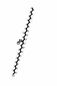 CCCCCCCCCCCCCCCCC(CCCCCCCCCCCCCCCC)N=O